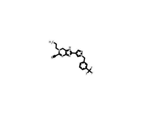 CCCN1Cc2[nH]c(-c3cnn(Cc4cccc(C(F)(F)F)c4)c3)nc2N=C1C#N